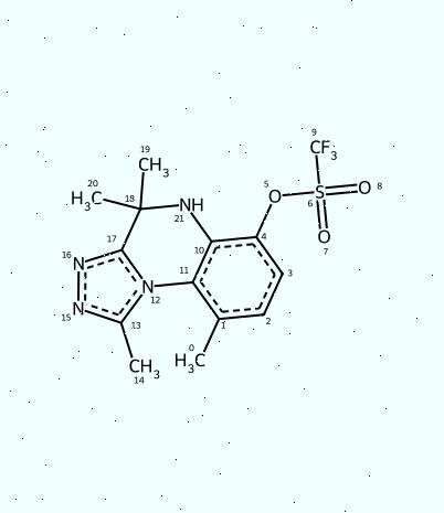 Cc1ccc(OS(=O)(=O)C(F)(F)F)c2c1-n1c(C)nnc1C(C)(C)N2